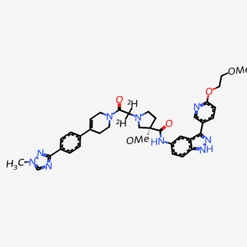 [2H]C([2H])(C(=O)N1CC=C(c2ccc(-c3ncn(C)n3)cc2)CC1)N1CC[C@@](OC)(C(=O)Nc2ccc3[nH]nc(-c4ccc(OCCOC)nc4)c3c2)C1